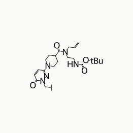 C=CCN(CCNC(=O)OC(C)(C)C)C(=O)C1CCN(c2ccc(=O)n(CI)n2)CC1